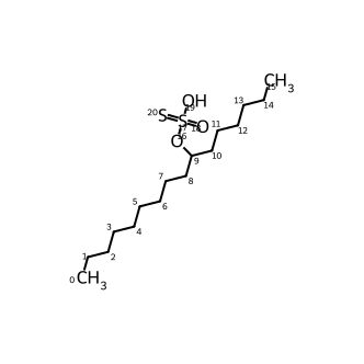 CCCCCCCCCC(CCCCCC)OS(=O)(O)=S